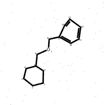 [CH]1CCCCC1COCc1ccccc1